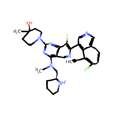 C#Cc1c(F)ccc2cncc(-c3ncc4c(N(C)C[C@@H]5CCCCN5)nc(N5CCC(C)(O)CC5)nc4c3F)c12